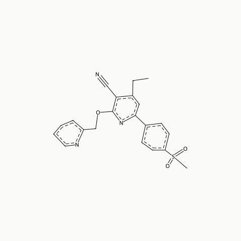 CCc1cc(-c2ccc(S(C)(=O)=O)cc2)nc(OCc2ccccn2)c1C#N